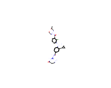 CC1CN(C(=O)c2cccc(Nc3ccc(C(=O)/N=C4\NCCC(=O)N4)cc3C3CC3)c2Cl)CCO1